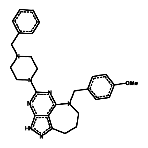 COc1ccc(CN2CCCc3n[nH]c4nc(N5CCN(Cc6ccccc6)CC5)nc2c34)cc1